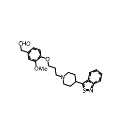 COc1cc(CC=O)ccc1OCCCN1CCC(c2snc3ccccc23)CC1